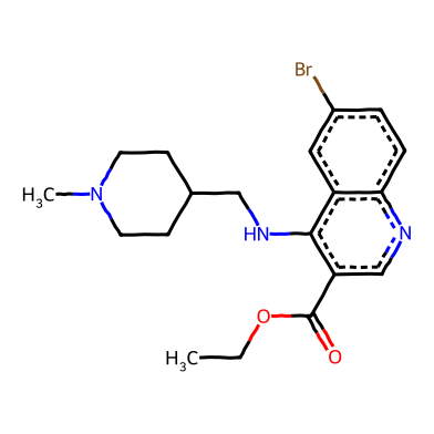 CCOC(=O)c1cnc2ccc(Br)cc2c1NCC1CCN(C)CC1